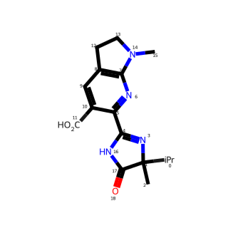 CC(C)C1(C)N=C(c2nc3c(cc2C(=O)O)CCN3C)NC1=O